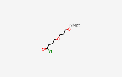 CCCCCCCOCCCOCCCC(=O)Cl